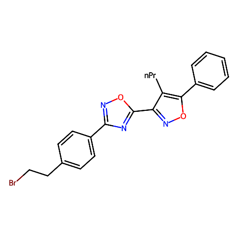 CCCc1c(-c2nc(-c3ccc(CCBr)cc3)no2)noc1-c1ccccc1